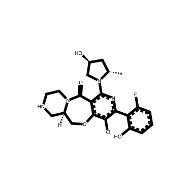 C[C@H]1C[C@H](O)CN1c1nc(-c2c(O)cccc2F)c(Cl)c2c1C(=O)N1CCNC[C@@H]1CO2